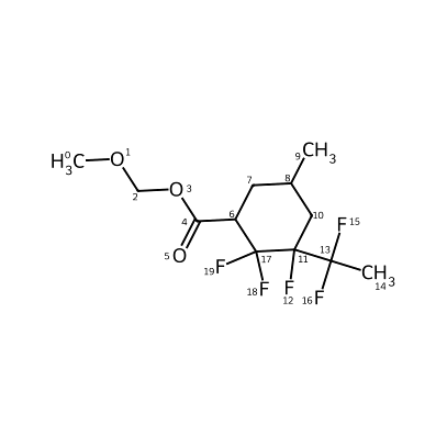 COCOC(=O)C1CC(C)CC(F)(C(C)(F)F)C1(F)F